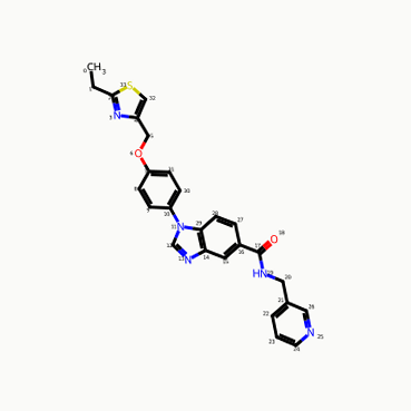 CCc1nc(COc2ccc(-n3cnc4cc(C(=O)NCc5cccnc5)ccc43)cc2)cs1